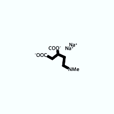 CNCCC(CC(=O)[O-])C(=O)[O-].[Na+].[Na+]